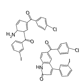 NC1C=CC(C(=O)c2ccc(Cl)cc2)=CC1C(=O)c1cccc(I)c1.O=C(c1ccc(Cl)cc1)c1ccc2[nH]c(=O)cc(-c3cccc(I)c3)c2c1